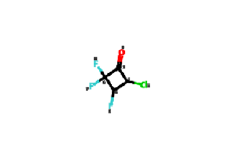 O=C1C(Cl)C(F)C1(F)F